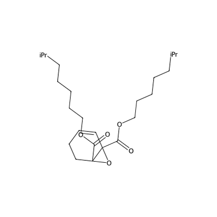 CC(C)CCCCCOC(=O)C12C=CCCC1(C(=O)OCCCCCC(C)C)O2